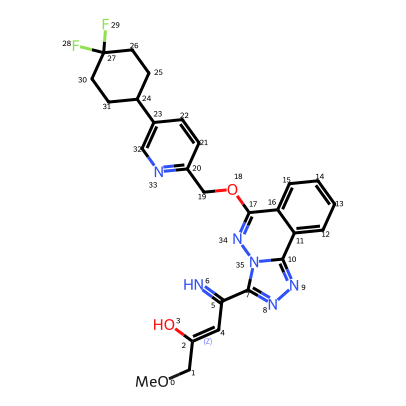 COC/C(O)=C/C(=N)c1nnc2c3ccccc3c(OCc3ccc(C4CCC(F)(F)CC4)cn3)nn12